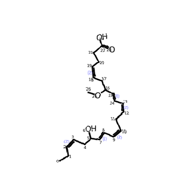 CC/C=C\CC(O)/C=C/C=C\C/C=C\C=C\C(C/C=C\CCC(=O)O)OC